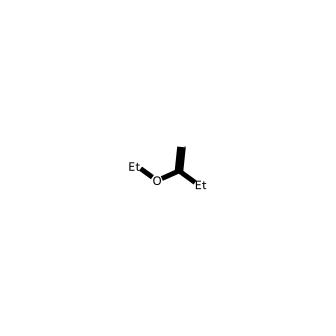 [CH]=C(CC)OCC